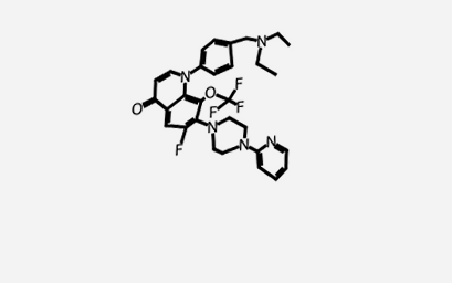 CCN(CC)Cc1ccc(-n2ccc(=O)c3cc(F)c(N4CCN(c5ccccn5)CC4)c(OC(F)(F)F)c32)cc1